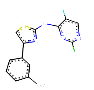 COc1cccc(-c2csc(Nc3nc(Cl)ncc3F)n2)c1